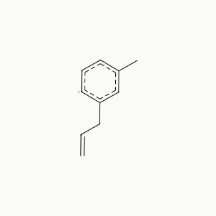 C=CCc1[c]ccc(C)c1